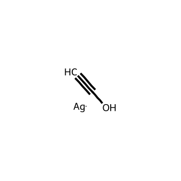 C#CO.[Ag]